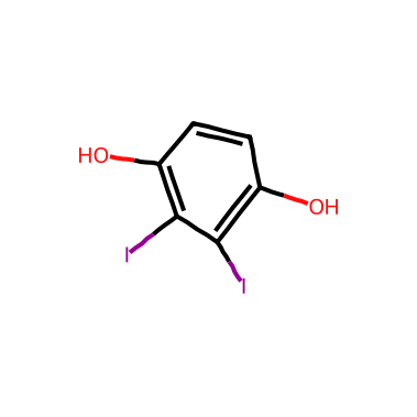 Oc1ccc(O)c(I)c1I